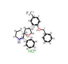 Cl.FC(F)(F)c1ccc(OCc2ccccc2)c([C@@H]2CO[C@]3(CCCN[C@H]3c3ccccc3)C2)c1